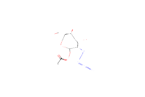 CC(=O)OC1O[C@H](CO)[C@@H](O)[C@H](O)[C@H]1NN=[N+]=[N-]